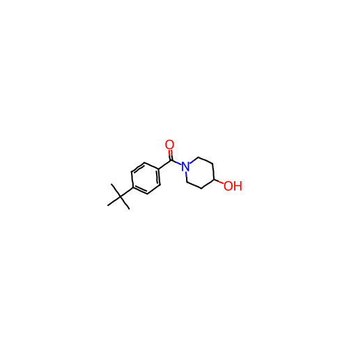 CC(C)(C)c1ccc(C(=O)N2CCC(O)CC2)cc1